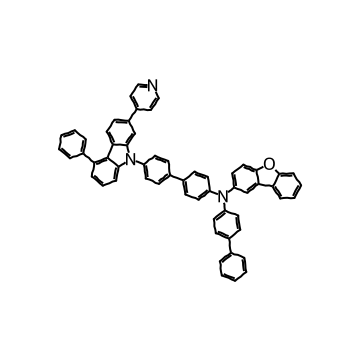 c1ccc(-c2ccc(N(c3ccc(-c4ccc(-n5c6cc(-c7ccncc7)ccc6c6c(-c7ccccc7)cccc65)cc4)cc3)c3ccc4oc5ccccc5c4c3)cc2)cc1